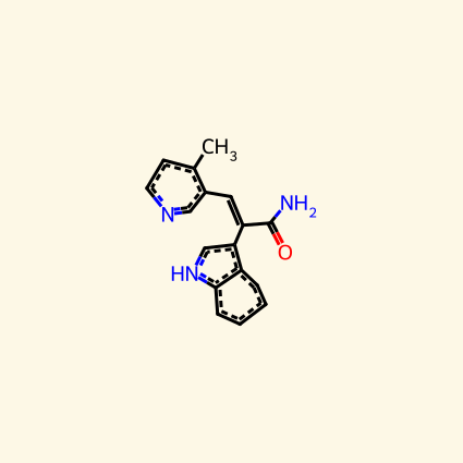 Cc1ccncc1/C=C(/C(N)=O)c1c[nH]c2ccccc12